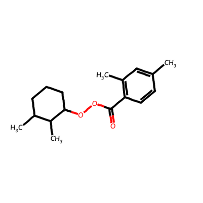 Cc1ccc(C(=O)OO[C]2CCCC(C)C2C)c(C)c1